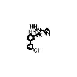 CN1CC[C@H](CN2C(=N)NC(C)(c3cccc(-c4cccc(O)c4)c3)C2=O)C1